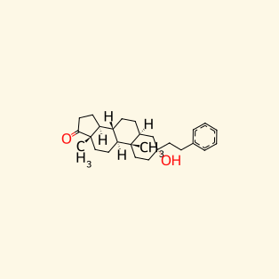 C[C@]12CC[C@](O)(CCc3ccccc3)C[C@@H]1CC[C@@H]1[C@@H]2CC[C@]2(C)C(=O)CC[C@@H]12